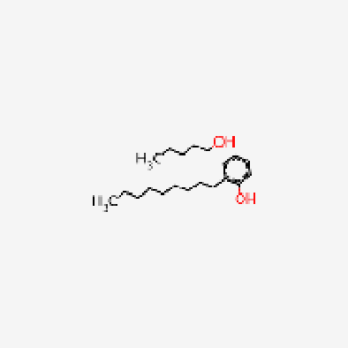 CCCCCCCCCc1ccccc1O.CCCCCO